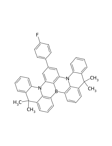 CC1(C)c2ccccc2N2c3cc(-c4ccc(F)cc4)cc4c3B(c3cccc1c32)c1cccc2c1N4c1ccccc1C2(C)C